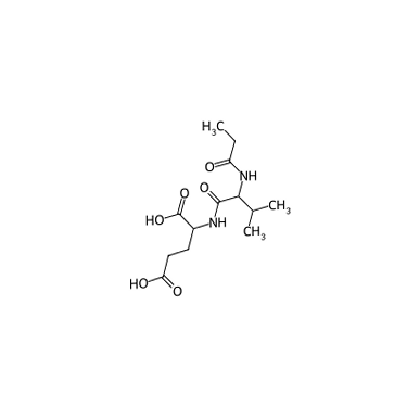 CCC(=O)NC(C(=O)NC(CCC(=O)O)C(=O)O)C(C)C